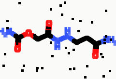 NC(=O)CCNNC(=O)COC(N)=O